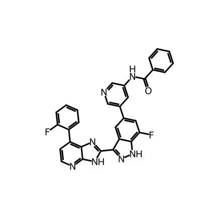 O=C(Nc1cncc(-c2cc(F)c3[nH]nc(-c4nc5c(-c6ccccc6F)ccnc5[nH]4)c3c2)c1)c1ccccc1